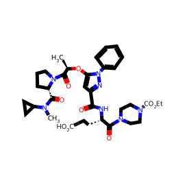 CCOC(=O)N1CCN(C(=O)[C@H](CCC(=O)O)NC(=O)c2cc(O[C@H](C)C(=O)N3CCC[C@H]3C(=O)N(C)C3CC3)n(-c3ccccc3)n2)CC1